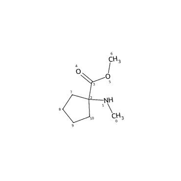 CNC1(C(=O)OC)CCCC1